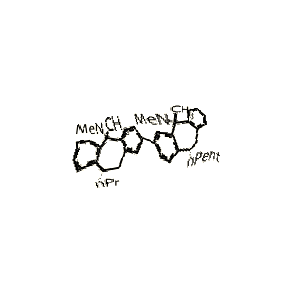 CCCCC[C@H]1Cc2ccccc2[C@@](C)(NC)c2cc(-c3ccc4c(c3)C[C@H](CCC)c3ccccc3[C@]4(C)NC)ccc21